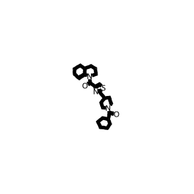 O=C(C1CCCCC1)N1CCC(c2nc(C(=O)N3CCCC4CCCC=C43)cs2)CC1